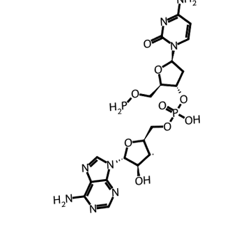 Nc1ccn([C@H]2C[C@H](OP(=O)(O)OC[C@H]3[CH][C@@H](O)[C@H](n4cnc5c(N)ncnc54)O3)[C@@H](COP)O2)c(=O)n1